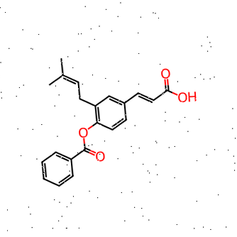 CC(C)=CCc1cc(/C=C/C(=O)O)ccc1OC(=O)c1ccccc1